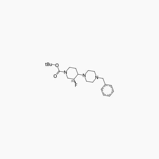 CC(C)(C)OC(=O)N1CCC(N2CCN(Cc3ccccc3)CC2)[C@@H](F)C1